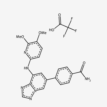 COc1ccc(Nc2cc(-c3ccc(C(N)=O)cc3)cn3ncnc23)nc1OC.O=C(O)C(F)(F)F